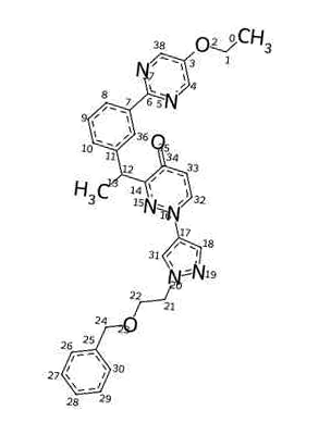 CCOc1cnc(-c2cccc(C(C)c3nn(-c4cnn(CCOCc5ccccc5)c4)ccc3=O)c2)nc1